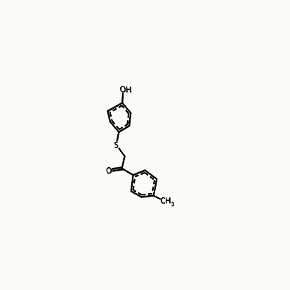 Cc1ccc(C(=O)CSc2ccc(O)cc2)cc1